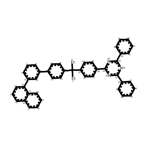 CCC(CC)(c1ccc(-c2cccc(-c3cccc4ccccc34)c2)cc1)c1ccc(-c2nc(-c3ccccc3)nc(-c3ccccc3)n2)cc1